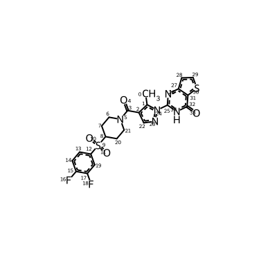 Cc1c(C(=O)N2CCC(S(=O)(=O)c3ccc(F)c(F)c3)CC2)cnn1-c1nc2ccsc2c(=O)[nH]1